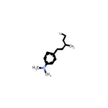 [Li][CH2]CC(C)CCc1ccc(N(C)C)cc1